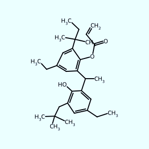 C=CC(=O)Oc1c(C(C)c2cc(CC)cc(CC(C)(C)C)c2O)cc(CC)cc1C(C)(C)CC